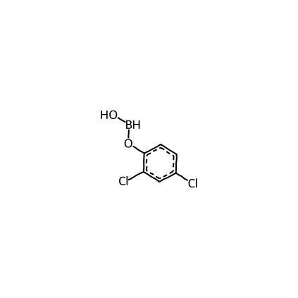 OBOc1ccc(Cl)cc1Cl